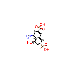 N[C]1CC(S(=O)(=O)O)=Cc2cc(S(=O)(=O)O)cc(O)c21